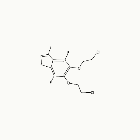 Cc1csc2c(F)c(OCCCl)c(OCCCl)c(F)c12